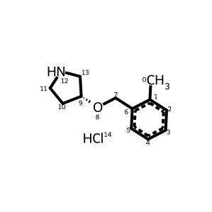 Cc1ccccc1CO[C@@H]1CCNC1.Cl